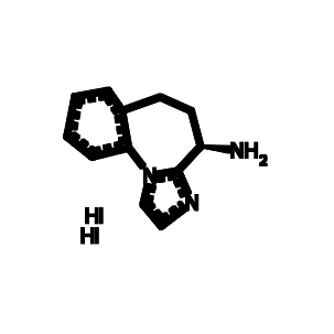 I.I.N[C@@H]1CCc2ccccc2-n2ccnc21